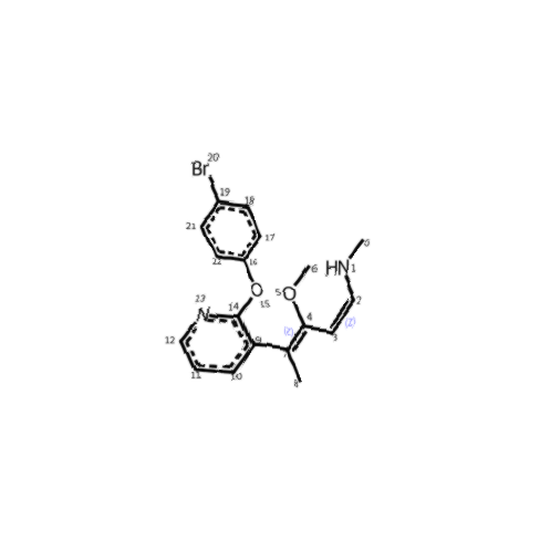 CN/C=C\C(OC)=C(/C)c1cccnc1Oc1ccc(Br)cc1